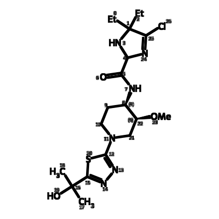 CCC1(CC)NC(C(=O)N[C@@H]2CCN(c3nnc(C(C)(C)O)s3)C[C@@H]2OC)N=C1Cl